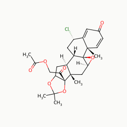 CC(=O)OCC(=O)[C@@]12OC(C)(C)OC1C[C@H]1[C@@H]3C[C@H](Cl)C4=CC(=O)C=C[C@]4(C)[C@@]34O[C@H]4C[C@@]12C